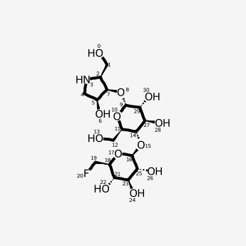 OC[C@@H]1NC[C@H](O)[C@@H]1O[C@H]1O[C@H](CO)[C@@H](O[C@@H]2O[C@H](CF)[C@@H](O)[C@H](O)[C@H]2O)[C@H](O)[C@H]1O